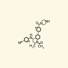 CC(=O)N1c2ccc(-c3ccc(C(=O)N4CCNCC4)nc3)cc2[C@H](Nc2ccc(C#N)cn2)C[C@@H]1C